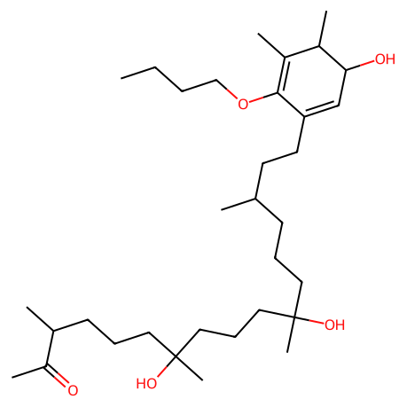 CCCCOC1=C(C)C(C)C(O)C=C1CCC(C)CCCC(C)(O)CCCC(C)(O)CCCC(C)C(C)=O